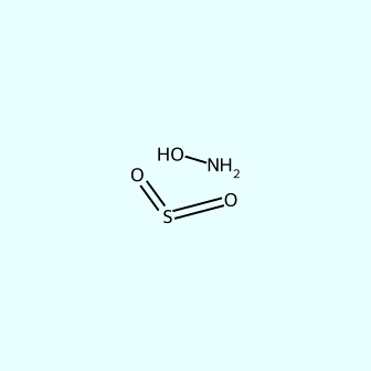 NO.O=S=O